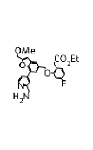 CCOC(=O)Cc1ccc(F)cc1OCc1cc(-c2ccnc(CN)c2)c2oc(COC)cc2c1